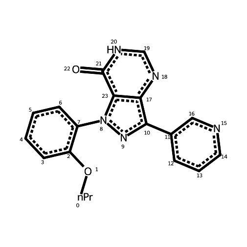 CCCOc1ccccc1-n1nc(-c2cccnc2)c2nc[nH]c(=O)c21